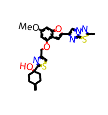 C=C1CCC(O)(c2nc(COc3cc(OC)cc4oc(-c5cn6nc(C)sc6n5)cc34)cs2)CC1